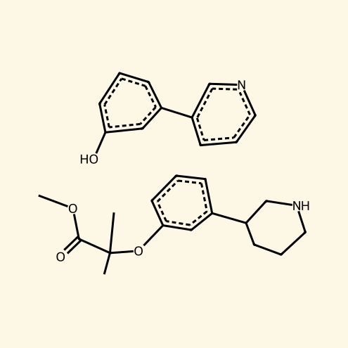 COC(=O)C(C)(C)Oc1cccc(C2CCCNC2)c1.Oc1cccc(-c2cccnc2)c1